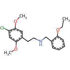 CCOc1ccccc1CNCCc1cc(OC)c(Cl)cc1OC